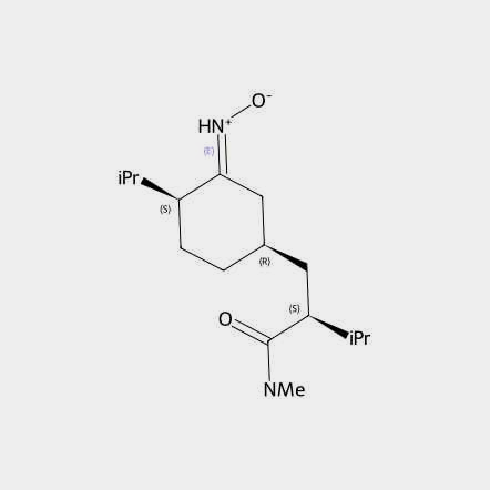 CNC(=O)[C@@H](C[C@H]1CC[C@@H](C(C)C)/C(=[NH+]/[O-])C1)C(C)C